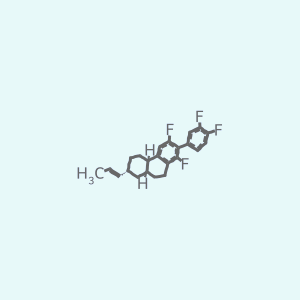 C/C=C/[C@@H]1CC[C@@H]2c3cc(F)c(-c4ccc(F)c(F)c4)c(F)c3CC[C@@H]2C1